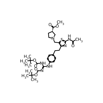 COC(=O)[C@@H]1CCN(Cc2sc(NC(C)=O)nc2CCc2ccc(N/C(=N/C(=O)OC(C)(C)C)NC(=O)OC(C)(C)C)cc2)C1